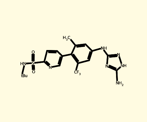 Cc1cc(Nc2n[nH]c(N)n2)cc(C(F)(F)F)c1-c1ccc(S(=O)(=O)NC(C)(C)C)nc1